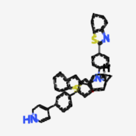 C1=CC(c2ccc(-c3ccc(N(c4ccc(-c5nc6ccccc6s5)cc4)C45C=CC(c6cc7ccccc7s6)=C[C@H]4C5)cc3)cc2)=CCN1